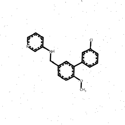 COc1ccc(CNc2cccnc2)cc1-c1cccc(Cl)c1